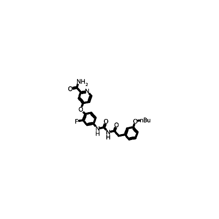 CCCCOc1cccc(CC(=O)NC(=O)Nc2ccc(Oc3ccnc(C(N)=O)c3)c(F)c2)c1